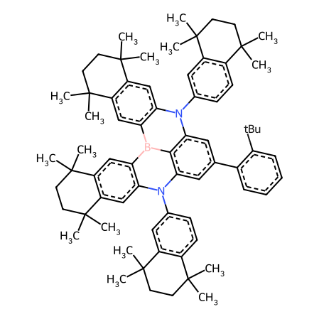 CC(C)(C)c1ccccc1-c1cc2c3c(c1)N(c1ccc4c(c1)C(C)(C)CCC4(C)C)c1cc4c(cc1B3c1cc3c(cc1N2c1ccc2c(c1)C(C)(C)CCC2(C)C)C(C)(C)CCC3(C)C)C(C)(C)CCC4(C)C